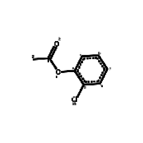 CC(=O)Oc1ccccc1Cl